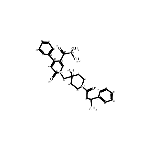 CC(CC(=O)N1CCC(O)(Cn2cc(C(=O)N(C)C)c(-c3ccccc3)cc2=O)CC1)c1ccccc1